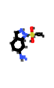 CS(=O)(=O)n1ncc2ccc(N)cc21